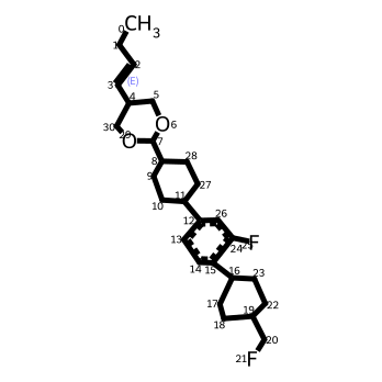 CC/C=C/C1COC(C2CCC(c3ccc(C4CCC(CF)CC4)c(F)c3)CC2)OC1